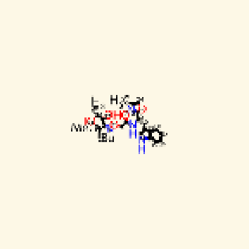 CO[C@H](/C(=N/OCC(=O)N[C@@H](Cc1c[nH]c2ccccc12)c1nc(C)co1)C(O)C(C)O)C(C)(C)C